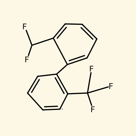 FC(F)c1ccccc1-c1ccc[c]c1C(F)(F)F